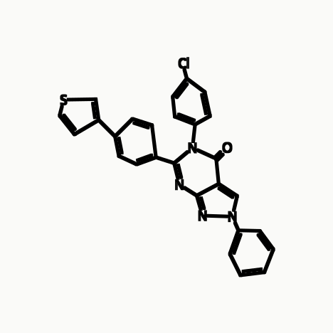 O=c1c2cn(-c3ccccc3)nc2nc(-c2ccc(-c3ccsc3)cc2)n1-c1ccc(Cl)cc1